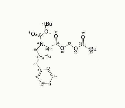 CC(C)(C)OC(=O)N1C[C@@H](Cc2ccccc2)C[C@H]1C(=O)OCOC(=O)C(C)(C)C